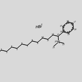 Br.CCCCCCCCCCCCC(c1ccccc1)N(C)C